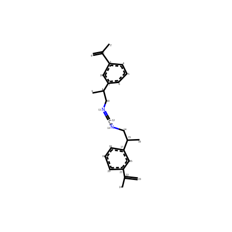 C=C(C)c1cccc(C(C)CN=C=NCC(C)c2cccc(C(=C)C)c2)c1